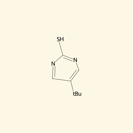 CC(C)(C)c1cnc(S)nc1